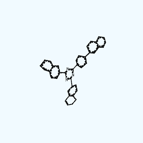 C1=Cc2cc(-c3nc(-c4ccc(-c5ccc6ccccc6c5)cc4)nc(-c4ccc5ccccc5c4)n3)ccc2CC1